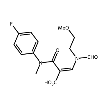 COCCN(C=O)/C=C(/C(=O)O)C(=O)N(C)c1ccc(F)cc1